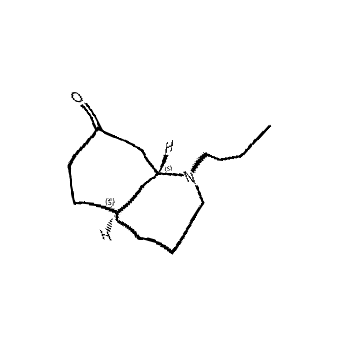 CCCN1CCC[C@H]2CCC(=O)C[C@@H]21